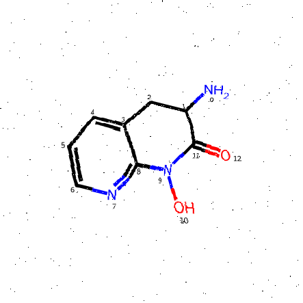 NC1Cc2cccnc2N(O)C1=O